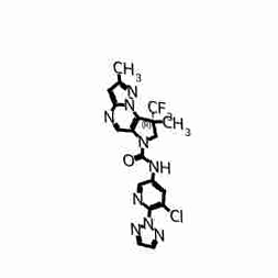 Cc1cc2ncc3c(n2n1)[C@](C)(C(F)(F)F)CN3C(=O)Nc1cnc(-n2nccn2)c(Cl)c1